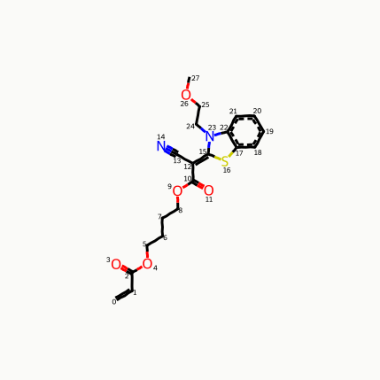 C=CC(=O)OCCCCOC(=O)/C(C#N)=C1\Sc2ccccc2N1CCOC